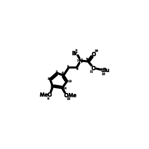 COc1ccc(CCN(Br)C(=O)OC(C)(C)C)cc1OC